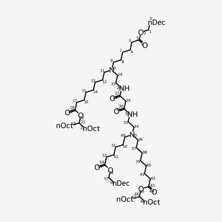 CCCCCCCCCCCOC(=O)CCCCCN(CCCCCCCC(=O)OC(CCCCCCCC)CCCCCCCC)CCNC(=O)CC(=O)NCCN(CCCCCCCC(=O)OC(CCCCCCCC)CCCCCCCC)CCCCCC(=O)OCCCCCCCCCCC